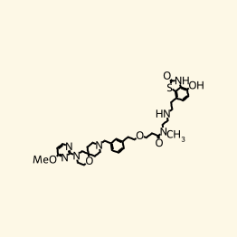 COc1ccnc(N2CCOC3(CCN(Cc4cccc(CCOCCC(=O)N(C)CCNCCc5ccc(O)c6[nH]c(=O)sc56)c4)CC3)C2)n1